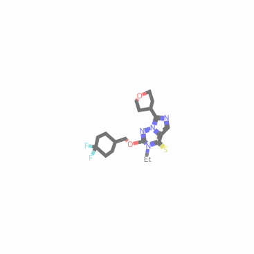 CCn1c(OCC2CCC(F)(F)CC2)nn2c(C3CCOCC3)ncc2c1=S